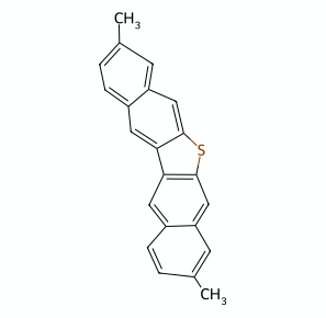 Cc1ccc2cc3c(cc2c1)sc1cc2cc(C)ccc2cc13